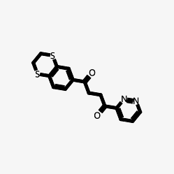 O=C(CCC(=O)c1cccnn1)c1ccc2c(c1)SCCS2